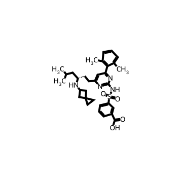 Cc1cccc(C)c1-c1cc(CC[C@@H](CC(C)C)NC2CC3(CC3)C2)nc(NS(=O)(=O)c2cccc(C(=O)O)c2)n1